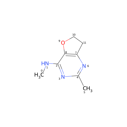 CNc1nc(C)nc2c1OCC2